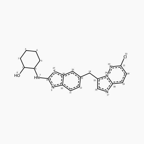 OC1CCCCC1Nc1nc2ccc(Cc3cnc4ccc(Cl)nn34)cc2s1